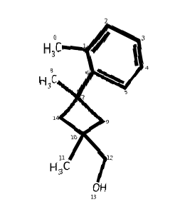 Cc1ccccc1C1(C)CC(C)(CO)C1